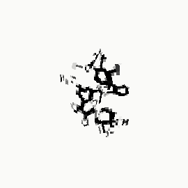 Cc1cc([C@@H](C)Nc2ccccc2-c2ccc3c(c2F)C=NOB3O)c2oc(N3CCC(C)(C)CC3)c(C)c(=O)c2c1